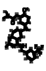 COc1ccc(N(C)c2ccc3nc(C)nc(NCc4cccc(C(F)(F)F)c4)c3c2)cc1CC(=O)N(C)C